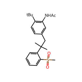 CC(=O)Nc1cc(CC(C)(C)c2ccccc2S(C)(=O)=O)ccc1C(C)(C)C